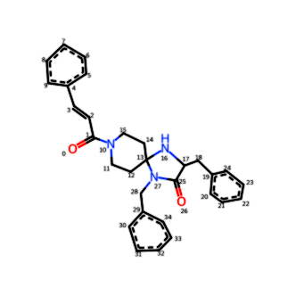 O=C(C=Cc1ccccc1)N1CCC2(CC1)NC(Cc1ccccc1)C(=O)N2Cc1ccccc1